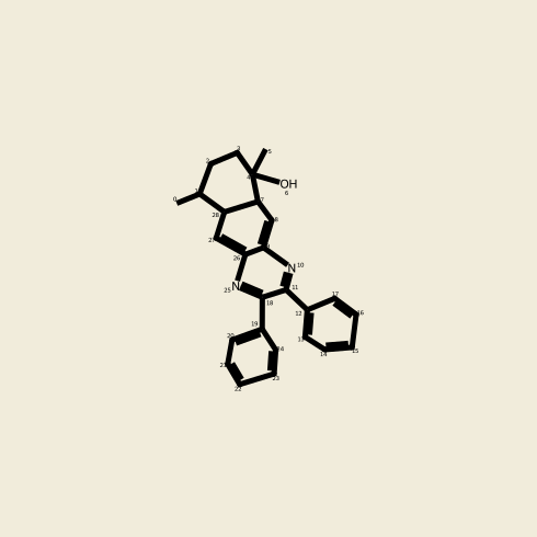 CC1CCC(C)(O)C2C=c3nc(-c4ccccc4)c(-c4ccccc4)nc3=CC12